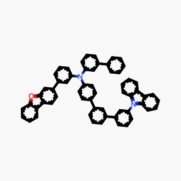 c1ccc(-c2cccc(N(c3ccc(-c4cccc(-c5cccc(-n6c7ccccc7c7ccccc76)c5)c4)cc3)c3cccc(-c4ccc5c(c4)oc4ccccc45)c3)c2)cc1